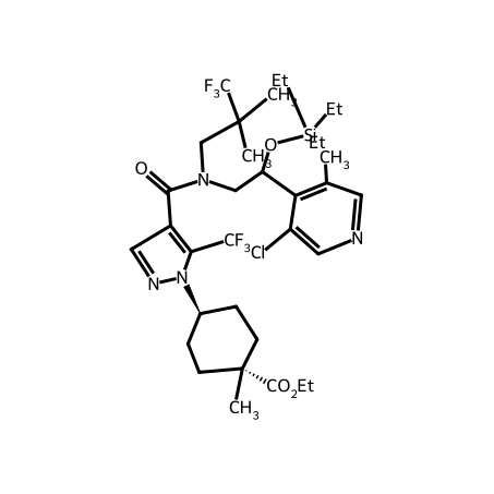 CCOC(=O)[C@]1(C)CC[C@@H](n2ncc(C(=O)N(CC(O[Si](CC)(CC)CC)c3c(C)cncc3Cl)CC(C)(C)C(F)(F)F)c2C(F)(F)F)CC1